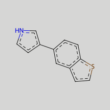 c1cc(-c2ccc3sccc3c2)c[nH]1